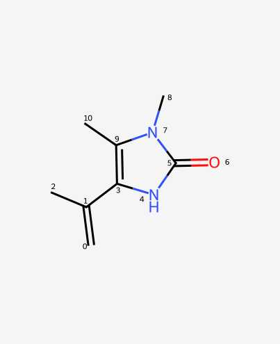 C=C(C)c1[nH]c(=O)n(C)c1C